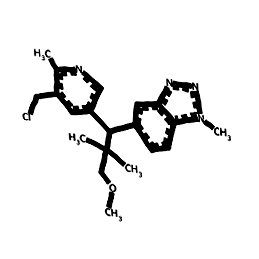 COCC(C)(C)C(c1cnc(C)c(CCl)c1)c1ccc2c(c1)nnn2C